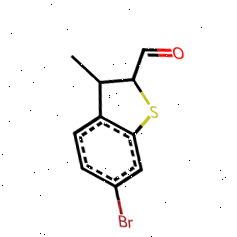 CC1c2ccc(Br)cc2SC1C=O